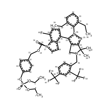 CCOP(=O)(OCC)Oc1ccc(COC(=O)n2ccc3c(-c4c5c(nn4-c4c(CC)cccc4CC)C(C)(C)N(Cc4ccc(C(F)(F)F)cc4C(F)(F)F)C5)ccc(F)c32)cc1